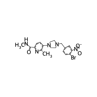 CNC(=O)c1ccc(N2CCN(Cc3ccc(Br)c([N+](=O)[O-])c3)CC2)c(C)n1